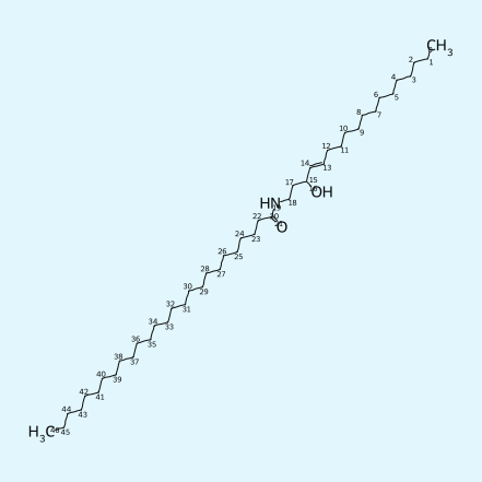 CCCCCCCCCCCCCC=CC(O)CCNC(=O)CCCCCCCCCCCCCCCCCCCCCCCCC